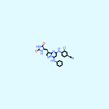 N#Cc1ccc(Nc2cc(Nc3ccccc3)n3ncc(/C=C4\NC(=O)NC4=O)c3n2)c(Cl)c1